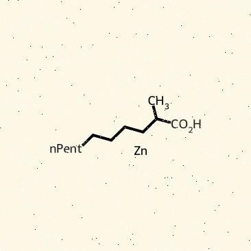 CCCCCCCCCC(C)C(=O)O.[Zn]